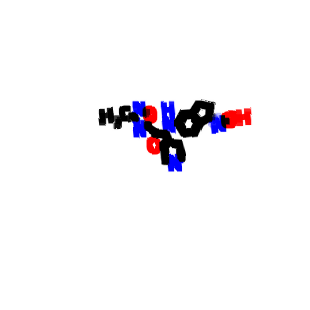 Cc1noc(-c2oc3cnccc3c2Nc2ccc3c(c2)CC/C3=N\O)n1